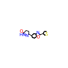 O=C1CCC(c2ccc3oc(-c4ccsc4)nc3c2)=NN1